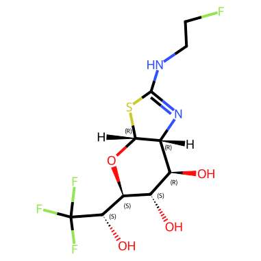 O[C@H]1[C@H](O)[C@@H]([C@H](O)C(F)(F)F)O[C@@H]2SC(NCCF)=N[C@H]12